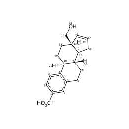 O=C(O)c1ccc2c(c1)CC[C@@H]1[C@@H]2CC[C@]2(CO)C=CC[C@@H]12